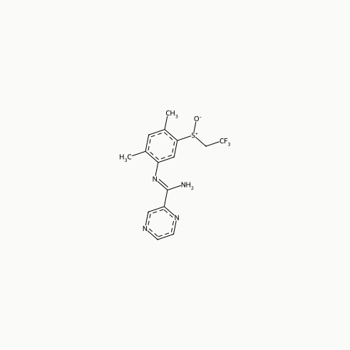 Cc1cc(C)c([S+]([O-])CC(F)(F)F)cc1/N=C(\N)c1cnccn1